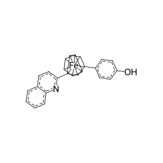 Oc1ccc([C]23[CH]4[CH]5[C]6(c7ccc8ccccc8n7)[CH]2[Fe]45362789[CH]3[CH]2[CH]7[CH]8[CH]39)cc1